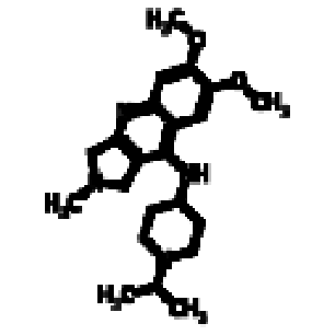 COc1cc2nc3c(c(NC4CCN(C(C)C)CC4)c2cc1OC)CN(C)C3